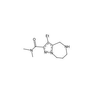 CCc1c(C(=O)N(C)C)nn2c1CNCCC2